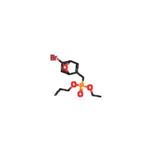 CCCOP(=O)(Cc1cc2oc1cc2Br)OCC